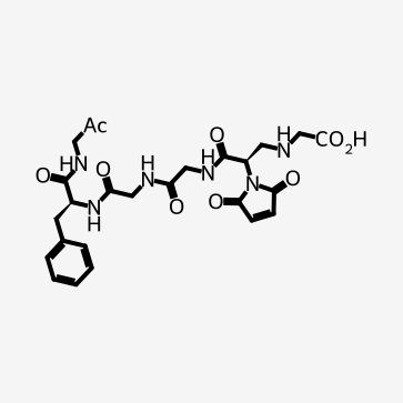 CC(=O)CNC(=O)[C@H](Cc1ccccc1)NC(=O)CNC(=O)CNC(=O)[C@@H](CNCC(=O)O)N1C(=O)C=CC1=O